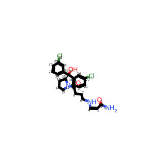 NC(=O)/C=C\NCCCC(=O)N1CCC[C@H]1C(O)(c1cccc(Cl)c1)c1cccc(Cl)c1